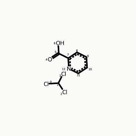 ClC(Cl)Cl.O=C(O)c1ccccn1